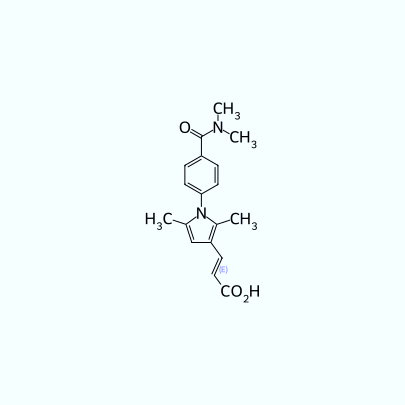 Cc1cc(/C=C/C(=O)O)c(C)n1-c1ccc(C(=O)N(C)C)cc1